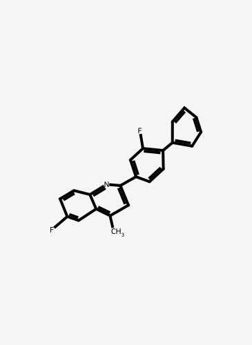 Cc1cc(-c2ccc(-c3ccccc3)c(F)c2)nc2ccc(F)cc12